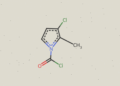 Cc1c(Cl)ccn1C(=O)Cl